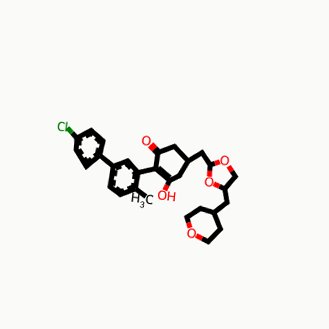 Cc1ccc(-c2ccc(Cl)cc2)cc1C1=C(O)CC(CC2OCC(CC3CCOCC3)O2)CC1=O